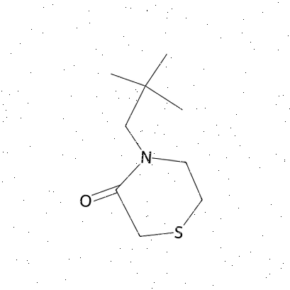 CC(C)(C)CN1CCSCC1=O